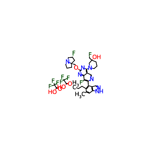 CCCc1c(C)cc2[nH]ncc2c1-c1ncc2c(N3CCC[C@](O)(CF)C3)nc(OC[C@@]34CCCN3C[C@H](F)C4)nc2c1F.O=C(O)C(F)(F)F.O=C(O)C(F)(F)F